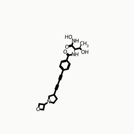 C[C@@H](O)[C@H](NC(=O)c1ccc(C#CC#CC2CCN(C3COC3)C2)cc1)C(=O)NO